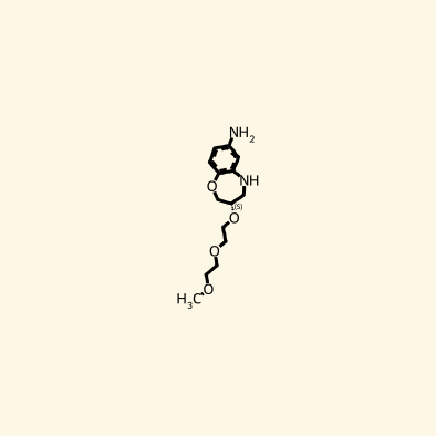 COCCOCCO[C@H]1CNc2cc(N)ccc2OC1